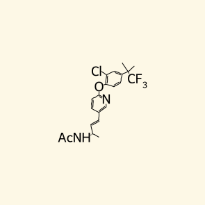 CC(=O)N[C@@H](C)/C=C/c1ccc(Oc2ccc(C(C)(C)C(F)(F)F)cc2Cl)nc1